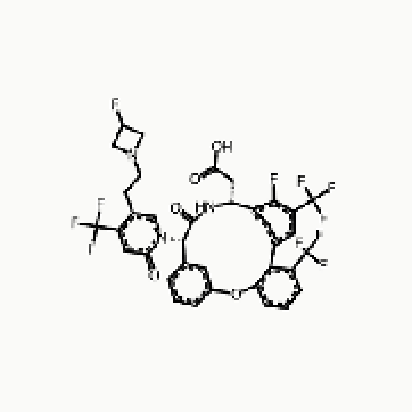 O=C(O)C[C@H]1NC(=O)[C@@H](n2cc(CCN3CC(F)C3)c(C(F)(F)F)cc2=O)c2cccc(c2)Oc2cccc(C(F)(F)F)c2-c2cc1c(F)c(C(F)(F)F)c2